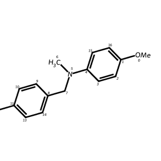 COc1ccc(N(C)Cc2ccc(Cl)cc2)cc1